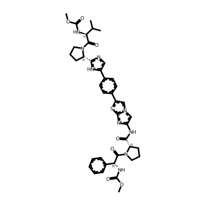 COC(=O)N[C@H](C(=O)N1CCC[C@H]1c1ncc(-c2ccc(-c3cn4cc(NC(=O)[C@@H]5CCCN5C(=O)[C@H](NC(=O)OC)c5ccccc5)nc4s3)cc2)[nH]1)C(C)C